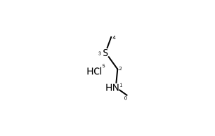 CNCSC.Cl